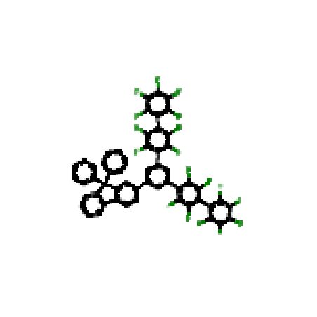 Fc1c(F)c(F)c(-c2c(F)c(F)c(-c3cc(-c4ccc5c(c4)C(c4ccccc4)(c4ccccc4)c4ccccc4-5)cc(-c4c(F)c(F)c(-c5c(F)c(F)c(F)c(F)c5F)c(F)c4F)c3)c(F)c2F)c(F)c1F